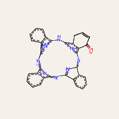 O=C1C=CCc2c3[nH]c(c21)N=C1N=C(N=c2[nH]/c(c4ccccc24)=N\c2[nH]c(c4ccccc24)N3)c2ccccc21